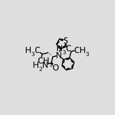 CC(C)C[C@@H](C(N)=O)N(c1ccsc1)c1ccccc1C(C)C